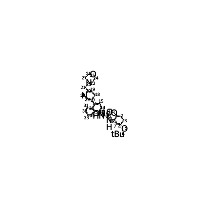 COc1ccc(OC(C)(C)C)cc1NC(=O)Nc1ccc(-c2ccc(CN3CCOCC3)nc2)c2ccccc12